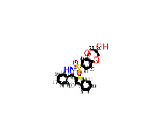 O=S(=O)(NC(c1cc2ccccc2s1)c1ccccc1Cl)c1ccc2c(c1)OCC(O)CO2